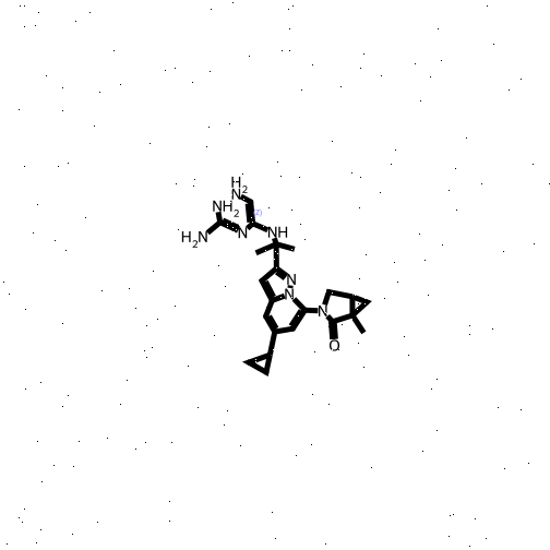 CC(C)(N/C(=C/N)N=C(N)N)c1cc2cc(C3CC3)cc(N3CC4CC4(C)C3=O)n2n1